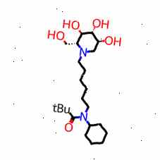 CC(C)(C)C(=O)N(CCCCCCN1C[C@H](O)[C@@H](O)[C@H](O)[C@H]1CO)C1CCCCC1